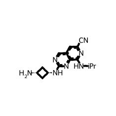 CC(C)Nc1nc(C#N)cc2cnc(N[C@H]3C[C@@H](N)C3)nc12